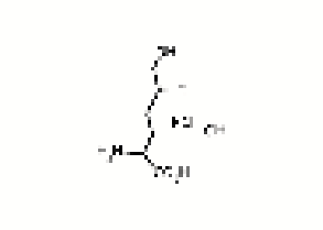 Cl.Cl.NCC(O)CCC(N)C(=O)O